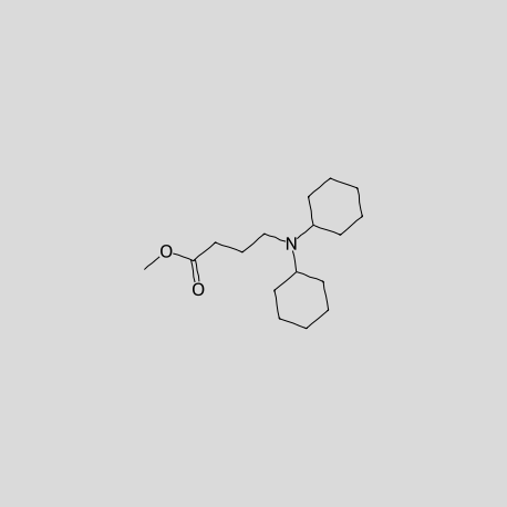 COC(=O)CCCN(C1CCCCC1)C1CCCCC1